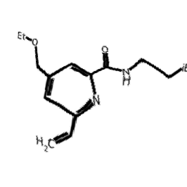 C=Cc1cc(COCC)cc(C(=O)NCCC(C)CC)n1